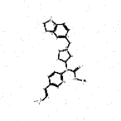 CC(C)(C)OC(=O)N(c1ccc(/C=C/C(=O)O)cn1)C1CCN(Cc2ccc3c(c2)CCO3)C1